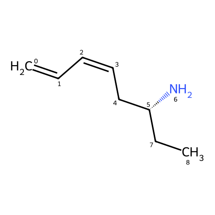 C=C/C=C\C[C@H](N)CC